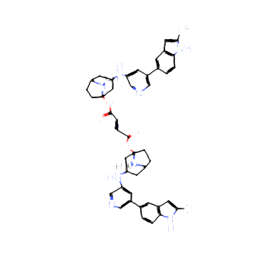 CN1C2CCC1(OC(=O)/C=C/C(=O)OC13CCC(CC(Nc4cncc(-c5ccc6[nH]c(C(F)(F)F)cc6c5)c4)C1)N3C)CC(Nc1cncc(-c3ccc4[nH]c(C(F)(F)F)cc4c3)c1)C2